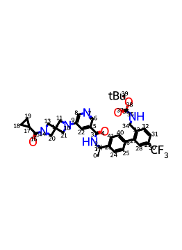 C[C@@H](NC(=O)c1cncc(N2CC3(CN(C(=O)C4CC4)C3)C2)c1)c1ccc(-c2cc(C(F)(F)F)ccc2CNC(=O)OC(C)(C)C)cc1